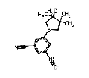 [C-]#[N+]c1cc(C#N)cc(B2CC(C)(C)C(C)(C)C2)c1